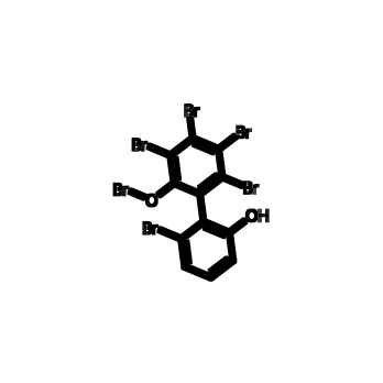 Oc1cccc(Br)c1-c1c(Br)c(Br)c(Br)c(Br)c1OBr